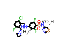 Cc1c(NCc2c(Cl)ccc(F)c2CN2CCC2)cc(F)c(S(=O)(=O)N(C(=O)O)c2cscn2)c1F